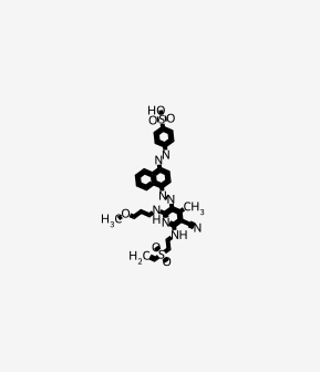 C=CS(=O)(=O)CCNc1nc(NCCCOC)c(/N=N/c2ccc(/N=N/c3ccc(S(=O)(=O)O)cc3)c3ccccc23)c(C)c1C#N